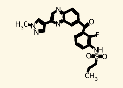 CCCS(=O)(=O)Nc1cccc(C(=O)c2ccc3ncc(-c4cnn(C)c4)nc3c2)c1F